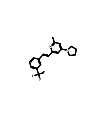 Cc1cc(N2CCCC2)cc(/C=C/c2cccc(C(F)(F)F)c2)n1